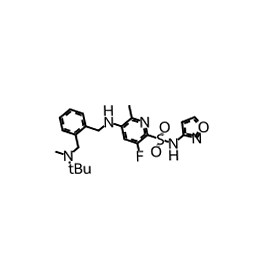 Cc1nc(S(=O)(=O)Nc2ccon2)c(F)cc1NCc1ccccc1CN(C)C(C)(C)C